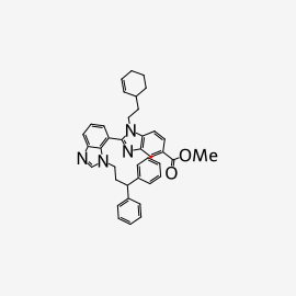 COC(=O)c1ccc2c(c1)nc(-c1cccc3ncn(CCC(c4ccccc4)c4ccccc4)c13)n2CCC1C=CCCC1